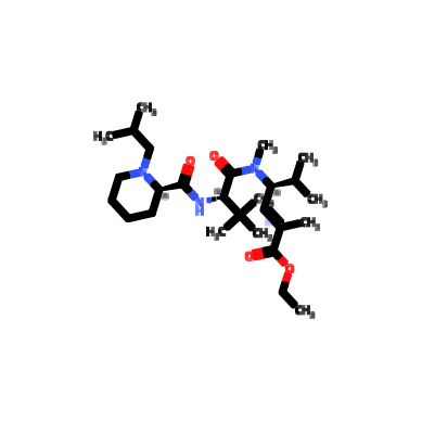 CCOC(=O)/C(C)=C/[C@H](C(C)C)N(C)C(=O)[C@@H](NC(=O)[C@H]1CCCCN1CC(C)C)C(C)(C)C